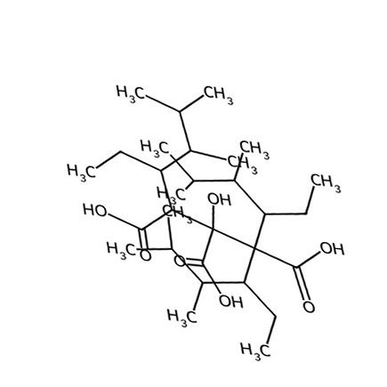 CCC(C(C)C(C)C)C(C(=O)O)C(O)(C(=O)O)C(C(=O)O)(C(CC)C(C)C(C)C)C(CC)C(C)C(C)C